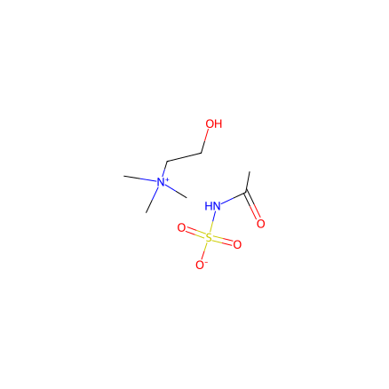 CC(=O)NS(=O)(=O)[O-].C[N+](C)(C)CCO